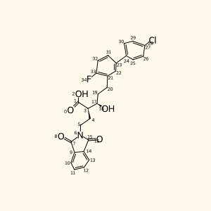 O=C(O)[C@H](CCN1C(=O)c2ccccc2C1=O)[C@H](O)CCc1cc(-c2ccc(Cl)cc2)ccc1F